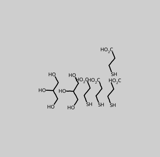 O=C(O)CCS.O=C(O)CCS.O=C(O)CCS.O=C(O)CCS.OCC(O)CO.OCC(O)CO